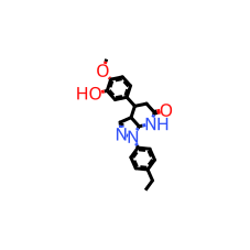 CCc1ccc(N2N=CC3C(c4ccc(OC)c(O)c4)CC(=O)NC32)cc1